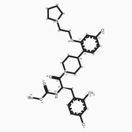 Cc1cc(Cl)ccc1C[C@@H](NC(=O)OC(C)(C)C)C(=O)N1CCC(c2ccc(Cl)cc2OCCN2CCCC2)CC1